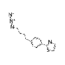 [N-]=[N+]=NCCCCc1ccc(-c2nccs2)cc1